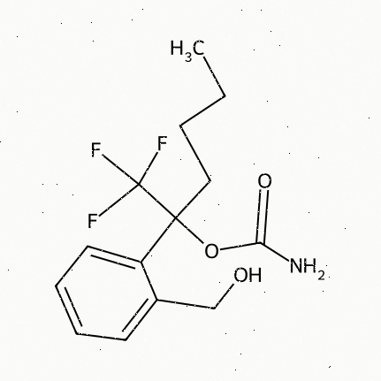 CCCCC(OC(N)=O)(c1ccccc1CO)C(F)(F)F